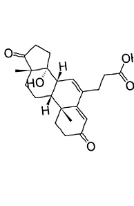 C[C@]12CCC(=O)C=C1C(CCC(=O)O)=C[C@@H]1[C@H]2CC[C@]2(C)C(=O)CC[C@@]12O